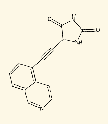 O=C1NC(=O)C(C#Cc2cccc3cnccc23)N1